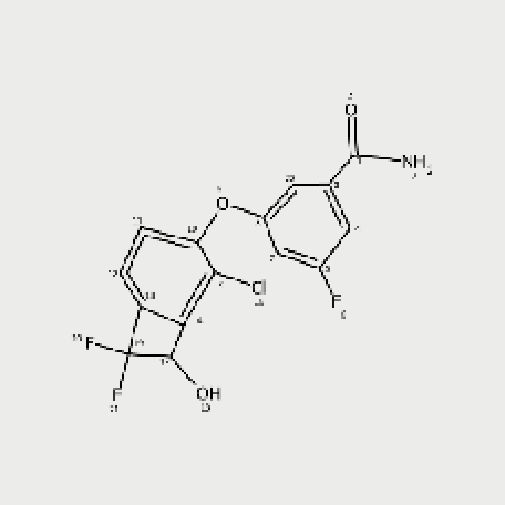 NC(=O)c1cc(F)cc(OC2=C=C=C3C(=C2Cl)C(O)C3(F)F)c1